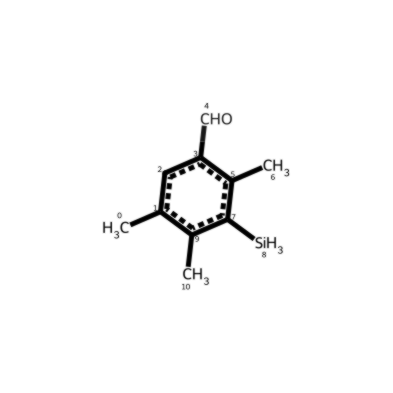 Cc1cc(C=O)c(C)c([SiH3])c1C